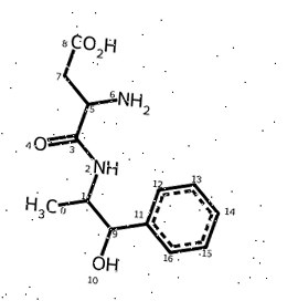 CC(NC(=O)C(N)CC(=O)O)C(O)c1ccccc1